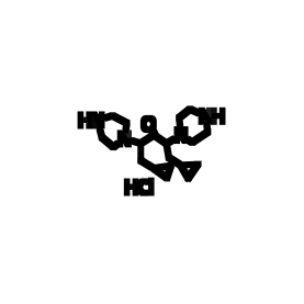 Cl.O=C(C(CC1CC1)N1CCNCC1)C(CC1CC1)N1CCNCC1